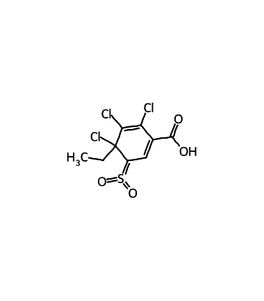 CCC1(Cl)C(Cl)=C(Cl)C(C(=O)O)=CC1=S(=O)=O